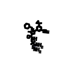 Cc1c(C(=O)NCC(C)(C)/C(N)=N/N)cc(-c2cc(C(C)(C)C)cc(C3(C)CC3)c2)n1CC1CCCCC1